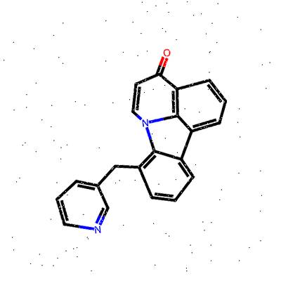 O=c1ccn2c3c(Cc4cccnc4)cccc3c3cccc1c32